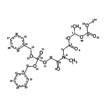 CC(OC(=O)CN(C)C(=O)COP(=O)(OCc1ccccc1)OCc1ccccc1)OC(=O)OI